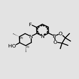 C[C@@H]1CN(c2nc(B3OC(C)(C)C(C)(C)O3)ccc2F)C[C@H](C)C1O